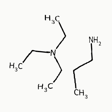 CCCN.CCN(CC)CC